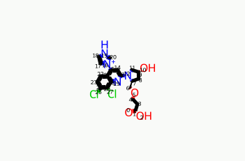 O=C(O)CCOC[C@@H]1C[C@H](O)CN1c1cc(-[n+]2cc[nH]c2)c2ccc(Cl)c(Cl)c2n1